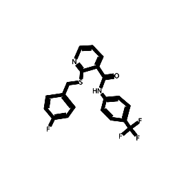 O=C(Nc1ccc(C(F)(F)F)cc1)c1cccnc1SCc1ccc(F)cc1